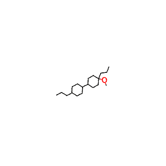 CCCC1CCC(C2CCC(CCC)(OC)CC2)CC1